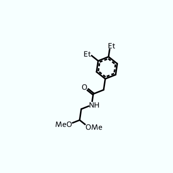 CCc1ccc(CC(=O)NCC(OC)OC)cc1CC